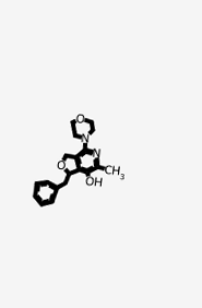 Cc1nc(N2CCOCC2)c2c(c1O)C(Cc1ccccc1)OC2